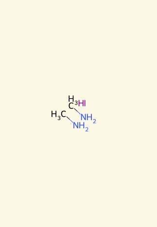 CN.CN.I